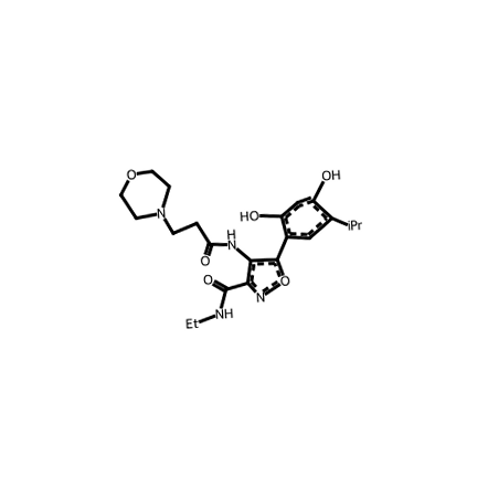 CCNC(=O)c1noc(-c2cc(C(C)C)c(O)cc2O)c1NC(=O)CCN1CCOCC1